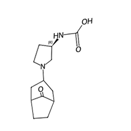 O=C(O)N[C@@H]1CCN(C2CC3CCC(C2)C3=O)C1